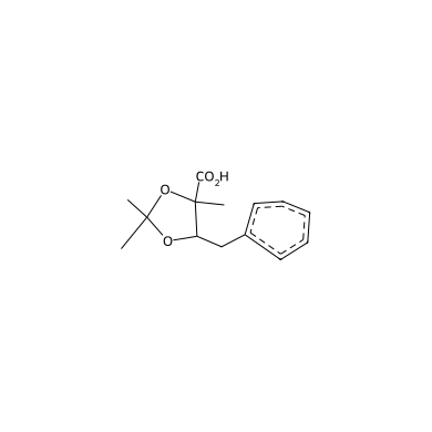 CC1(C)OC(Cc2ccccc2)C(C)(C(=O)O)O1